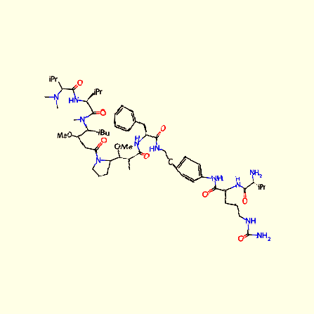 CCC(C)C(C(CC(=O)N1CCCC1C(OC)C(C)C(=O)N[C@@H](Cc1ccccc1)C(=O)NCCc1ccc(NC(=O)C(CCCNC(N)=O)NC(=O)[C@H](N)C(C)C)cc1)OC)N(C)C(=O)[C@@H](NC(=O)C(C(C)C)N(C)C)C(C)C